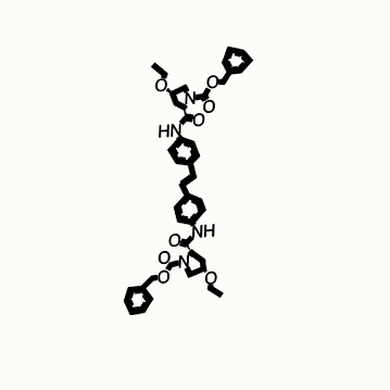 CCO[C@@H]1C[C@@H](C(=O)Nc2ccc(/C=C/c3ccc(NC(=O)[C@@H]4C[C@@H](OCC)CN4C(=O)OCc4ccccc4)cc3)cc2)N(C(=O)OCc2ccccc2)C1